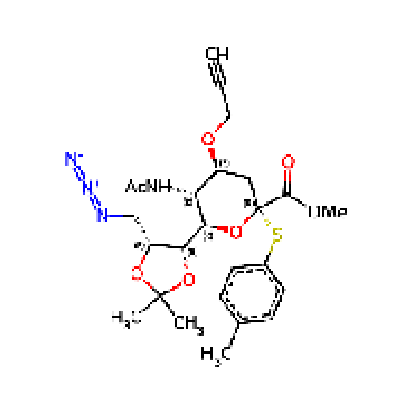 C#CCO[C@H]1C[C@@](Sc2ccc(C)cc2)(C(=O)OC)O[C@@H]([C@@H]2OC(C)(C)O[C@@H]2CN=[N+]=[N-])[C@@H]1NC(C)=O